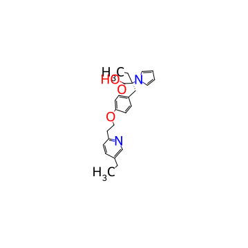 CCc1ccc(CCOc2ccc(C[C@@](CC)(C(=O)O)n3cccc3)cc2)nc1